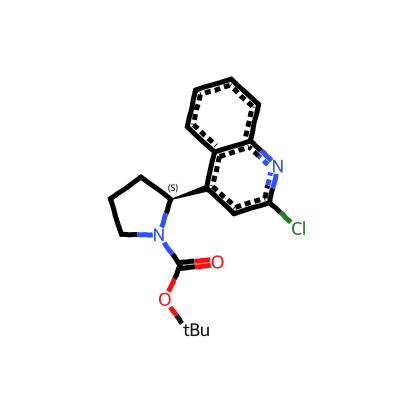 CC(C)(C)OC(=O)N1CCC[C@H]1c1cc(Cl)nc2ccccc12